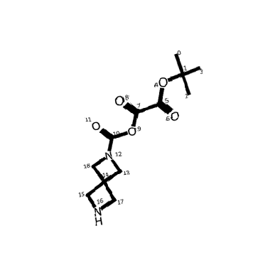 CC(C)(C)OC(=O)C(=O)OC(=O)N1CC2(CNC2)C1